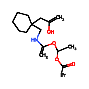 C=C(O)CC1(CNC(=C)OC(C)OC(=O)C(C)C)CCCCC1